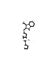 Cn1c(-c2cccs2)nc2oc(/C=C3\C(=O)c4ccccc4C3=C(C#N)C#N)cc21